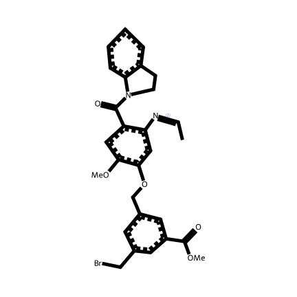 C/C=N\c1cc(OCc2cc(CBr)cc(C(=O)OC)c2)c(OC)cc1C(=O)N1CCc2ccccc21